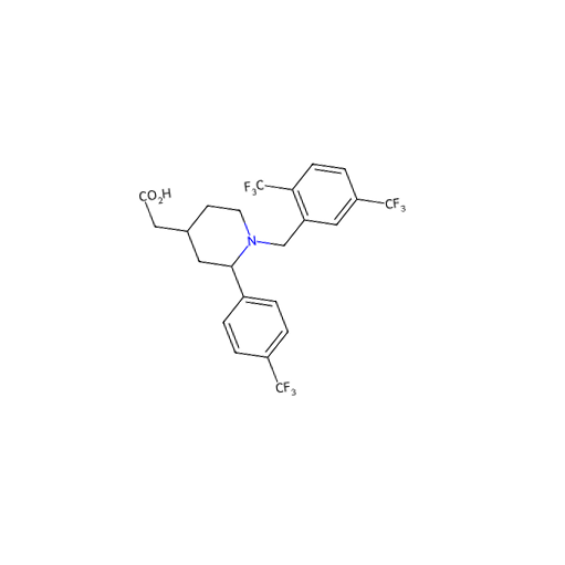 O=C(O)CC1CCN(Cc2cc(C(F)(F)F)ccc2C(F)(F)F)C(c2ccc(C(F)(F)F)cc2)C1